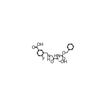 O=C(N[C@H](CO)C(=O)CNCc1cc(C(=O)O)ccc1F)OCc1ccccc1